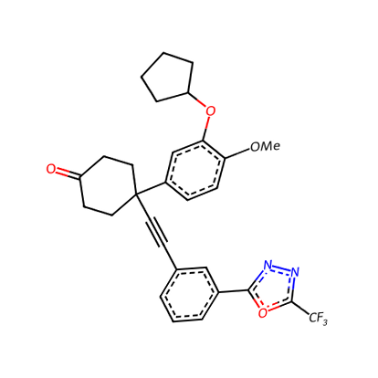 COc1ccc(C2(C#Cc3cccc(-c4nnc(C(F)(F)F)o4)c3)CCC(=O)CC2)cc1OC1CCCC1